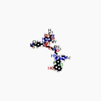 CC(=O)N1CCN(c2nc(NCCC(=O)N(C)CCOCCOC[C@H](NC(=O)[C@@H]3C[C@@H](O)CN3C(=O)[C@H](c3cc(C)no3)C(C)C)c3ccc(-c4scnc4C)cc3)nc3c(F)c(-c4cc(O)cc5ccccc45)c(Cl)cc23)CC1